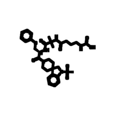 CC(C)(NC(=O)CCCNC(=O)O)C(=O)N[C@H](COc1ccccc1)C(=O)N1CCC2(CC1)CN(S(C)(=O)=O)c1ccccc12